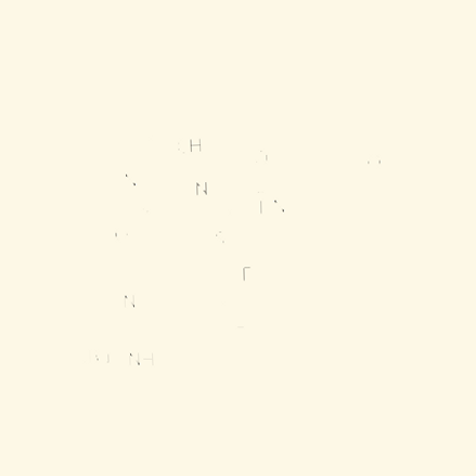 C[C@H]1CCCN1C(=O)c1nc(C(=O)NC2CCOCC2)sc1-c1cnc(NC(C)(C)C)cc1C(F)F